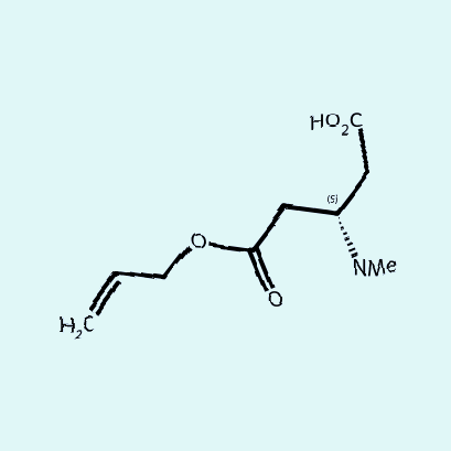 C=CCOC(=O)C[C@H](CC(=O)O)NC